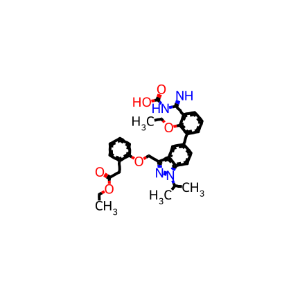 CCOC(=O)Cc1ccccc1OCc1nn(C(C)C)c2ccc(-c3cccc(C(=N)NC(=O)O)c3OCC)cc12